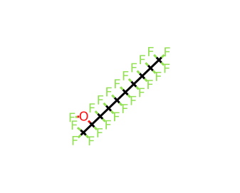 FOC(F)(C(F)(F)F)C(F)(F)C(F)(F)C(F)(F)C(F)(F)C(F)(F)C(F)(F)C(F)(F)C(F)(F)F